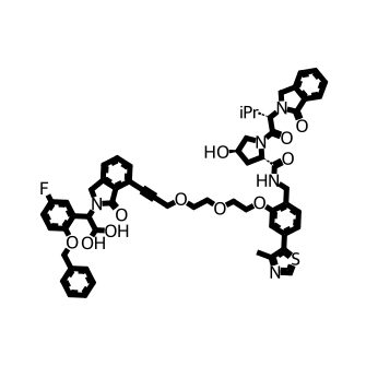 Cc1ncsc1-c1ccc(CNC(=O)[C@@H]2C[C@@H](O)CN2C(=O)[C@H](C(C)C)N2Cc3ccccc3C2=O)c(OCCOCCOCC#Cc2cccc3c2C(=O)N(C(c2cc(F)ccc2OCc2ccccc2)C(O)O)C3)c1